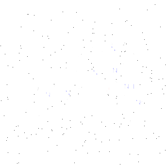 O=C(Nc1ccccn1)N1c2nc(-c3ccc(N4CCCCC4)nc3)ccc2N2CCC1C2